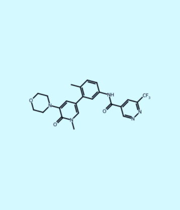 Cc1ccc(NC(=O)c2cnnc(C(F)(F)F)c2)cc1-c1cc(N2CCOCC2)c(=O)n(C)c1